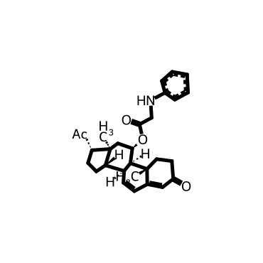 CC(=O)[C@H]1CC[C@H]2[C@@H]3C=CC4=CC(=O)CC[C@@]4(C)[C@@H]3[C@@H](OC(=O)CNc3ccccc3)C[C@]12C